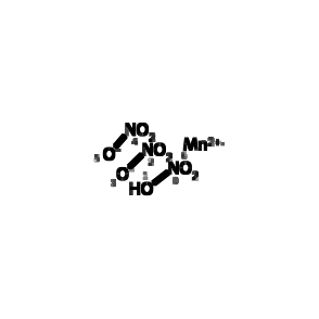 O=[N+]([O-])O.O=[N+]([O-])[O-].O=[N+]([O-])[O-].[Mn+2]